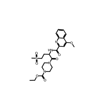 CCOC(=O)N1CCN(C(=O)C(CCS(C)(=O)=O)NC(=O)c2cc(OC)c3ccccc3n2)CC1